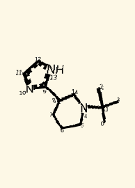 CC(C)(C)N1CCCC(c2ncc[nH]2)C1